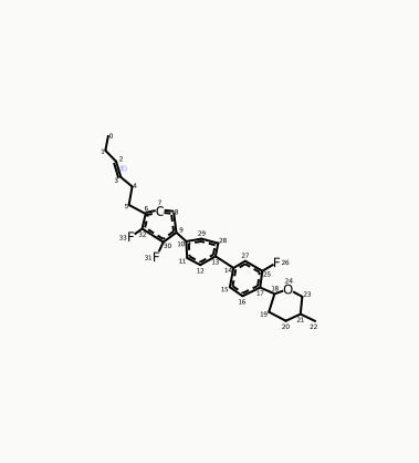 CC/C=C/CCc1ccc(-c2ccc(-c3ccc(C4CCC(C)CO4)c(F)c3)cc2)c(F)c1F